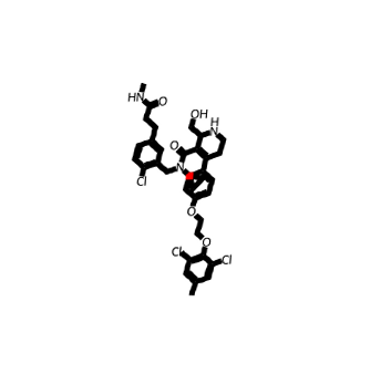 CNC(=O)CCc1ccc(Cl)c(CN(C(=O)C2=C(c3ccc(OCCOc4c(Cl)cc(C)cc4Cl)cc3)CCNC2CO)C2CC2)c1